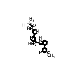 COc1cc(F)cc(-c2cccc3[nH]c(-c4n[nH]c5cnc(-c6cncc(NC(=O)C(C)C)c6)cc45)cc23)c1